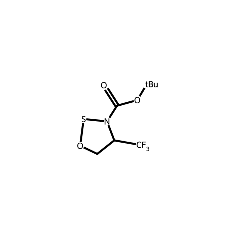 CC(C)(C)OC(=O)N1SOCC1C(F)(F)F